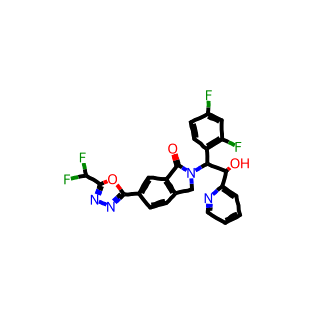 O=C1c2cc(-c3nnc(C(F)F)o3)ccc2CN1C(c1ccc(F)cc1F)C(O)c1ccccn1